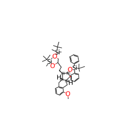 COc1cccc2c1C[C@H]1C[C@@H](O[Si](c3ccccc3)(c3ccccc3)C(C)(C)C)[C@H](CCC(CO[Si](C)(C)C(C)(C)C)O[Si](C)(C)C(C)(C)C)[C@H]1C2